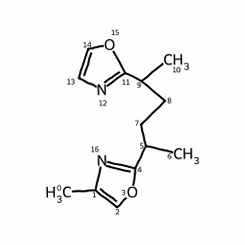 Cc1coc(C(C)CCC(C)c2ncco2)n1